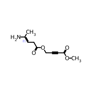 COC(=O)C#CCOC(=O)C/C=C(\C)N